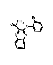 NC(=O)c1nc2ccccc2nc1Sc1ccccc1Br